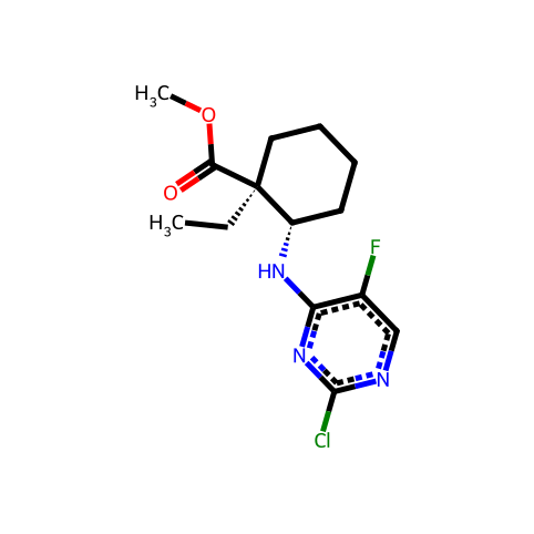 CC[C@]1(C(=O)OC)CCCC[C@@H]1Nc1nc(Cl)ncc1F